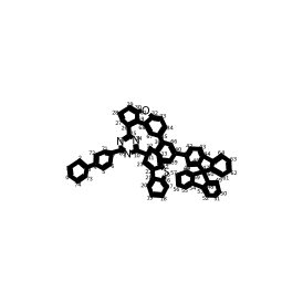 c1ccc(-c2ccc(-c3nc(-c4ccc5sc6ccccc6c5c4)nc(-c4cccc5oc6ccc(-c7cccc(-c8ccc9c(c8)C8(c%10ccccc%10-c%10ccccc%108)c8ccccc8-9)c7)cc6c45)n3)cc2)cc1